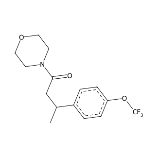 CC(CC(=O)N1CCOCC1)c1ccc(OC(F)(F)F)cc1